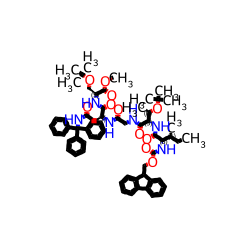 CC[C@H](C)[C@H](NC(=O)OCC1c2ccccc2-c2ccccc21)C(=O)N[C@H](C(=O)NCC(=O)N[C@@H](CC(=O)NC(c1ccccc1)(c1ccccc1)c1ccccc1)C(=O)N[C@@H](COC(C)(C)C)C(=O)OC)[C@@H](C)OC(C)(C)C